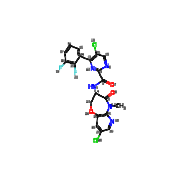 CN1C(=O)[C@@H](NC(=O)c2ncc(Cl)c(-c3cccc(F)c3F)n2)COc2cc(Cl)cnc21